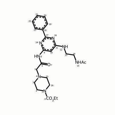 CCOC(=O)N1CCN(CC(=O)Nc2cc(NCCNC(C)=O)nc(-c3ccccc3)n2)CC1